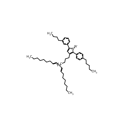 CCCCCCCC=[CH][Pd][CH]=CCCCCCCC.CCCCCc1ccc(C2=C(CCCC)C=C(c3cccc(CCCC)c3)[N+]2=[N-])cc1